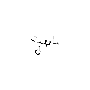 CCC(=O)Nc1cc(C)c(-c2cc(N3CCOCC3)nc(N3CCCCC3)n2)cn1